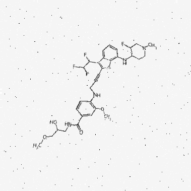 COCC(O)CNC(=O)c1ccc(NCC#Cc2sc3c(NC4CCN(C)CC4F)cccc3c2C(F)C(F)F)c(OC)c1